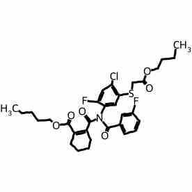 CCCCCOC(=O)C1=C(C(=O)N(C(=O)c2cccc(F)c2)c2cc(SCC(=O)OCCCC)c(Cl)cc2F)CCCC1